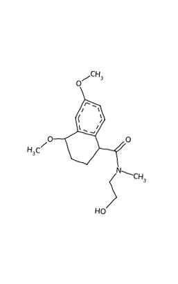 COc1ccc2c(c1)C(OC)CCC2C(=O)N(C)CCO